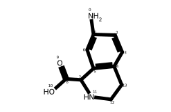 Nc1ccc2c(c1)C(C(=O)O)NCC2